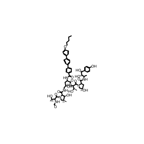 CCCCCOc1ccc(-c2ccc(-c3ccc(C(=O)NC(C[C@@H](O)CNC(=O)C4[C@@H](O)[C@@H](C)CN4C(=O)C(NC=O)[C@@H](C)O)C(=O)NC(C(=O)N4C[C@H](O)CC4C(=O)NC(C)[C@H](O)[C@@H](O)c4ccc(O)cc4)[C@@H](C)O)cc3)cc2)cc1